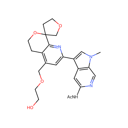 CC(=O)Nc1cc2c(-c3cc(COCCO)c4c(n3)C3(CCOC3)OCC4)cn(C)c2cn1